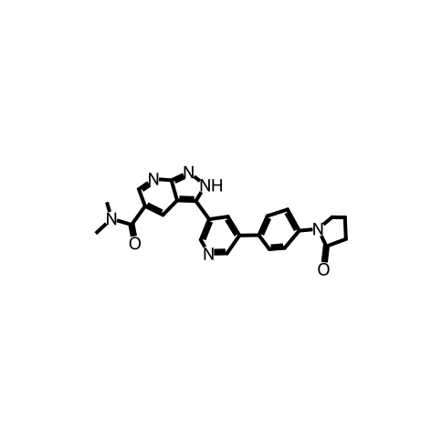 CN(C)C(=O)c1cnc2n[nH]c(-c3cncc(-c4ccc(N5CCCC5=O)cc4)c3)c2c1